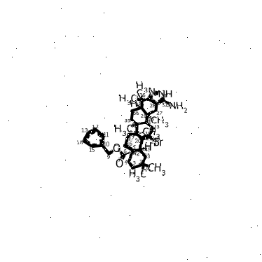 CC1(C)CC[C@]2(C(=O)OCc3ccccc3)CC[C@]3(C)C(=C(Br)CC4[C@@]5(C)Cc6c(n[nH]c6N)C(C)(C)[C@@H]5CC[C@]43C)[C@@H]2C1